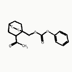 CC(=O)C1CC2CCC1(COC(=O)Oc1ccccc1)CC2